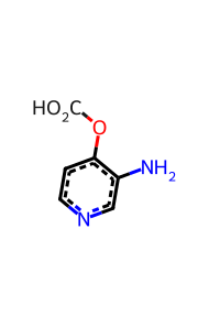 Nc1cnccc1OC(=O)O